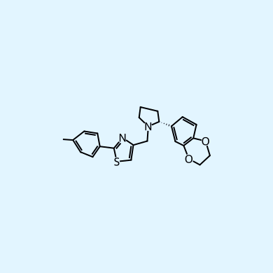 Cc1ccc(-c2nc(CN3CCC[C@@H]3c3ccc4c(c3)OCCO4)cs2)cc1